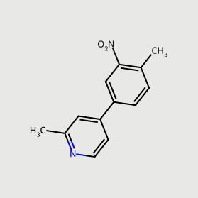 Cc1cc(-c2ccc(C)c([N+](=O)[O-])c2)ccn1